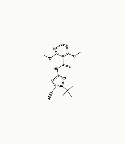 COc1ncnc(OC)c1C(=O)Nc1nc(C(C)(C)C)c(C#N)s1